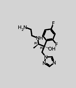 C[C@@H](NCCN)[C@](O)(Cn1cncn1)c1ccc(F)cc1F